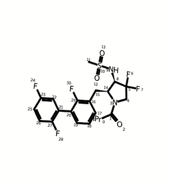 CC(C)C(=O)N1CC(F)(F)[C@H](NS(C)(=O)=O)[C@@H]1Cc1cccc(-c2cc(F)ccc2F)c1F